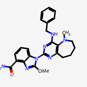 COc1nc2c(C(N)=O)cccc2n1-c1nc2c(c(NCc3ccccc3)n1)N(C)CCCC2